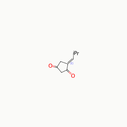 CC(C)/C=C1\CC(=O)CC1=O